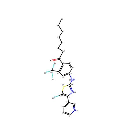 CCCCCCCC(=O)c1ccc(Nc2nc(-c3cccnc3)c(F)s2)cc1C(F)(F)F